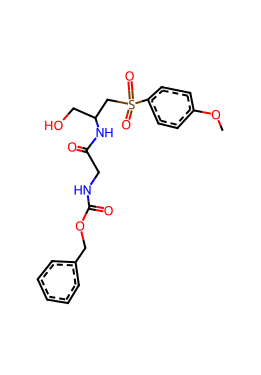 COc1ccc(S(=O)(=O)CC(CO)NC(=O)CNC(=O)OCc2ccccc2)cc1